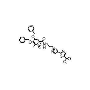 COC(=O)c1cnc(-c2cnn(CCCNC(=O)c3cc(OCc4ccccc4)c(OCc4ccccc4)c(C)[n+]3[O-])c2)s1